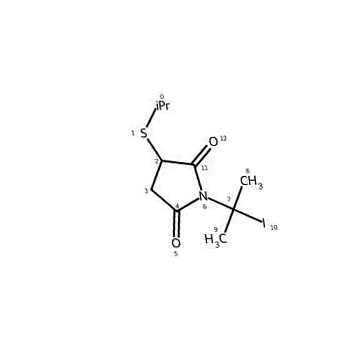 CC(C)SC1CC(=O)N(C(C)(C)I)C1=O